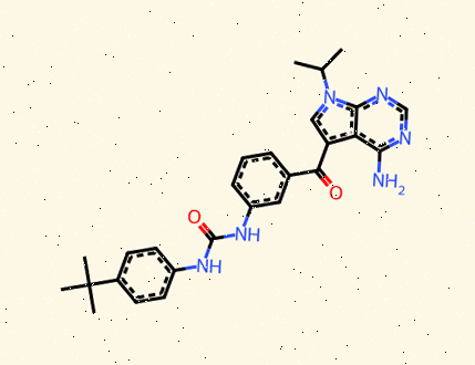 CC(C)n1cc(C(=O)c2cccc(NC(=O)Nc3ccc(C(C)(C)C)cc3)c2)c2c(N)ncnc21